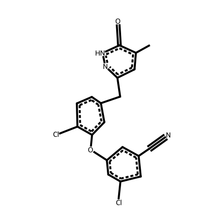 Cc1cc(Cc2ccc(Cl)c(Oc3cc(Cl)cc(C#N)c3)c2)n[nH]c1=O